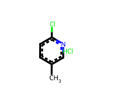 Cc1ccc(Cl)nc1.Cl